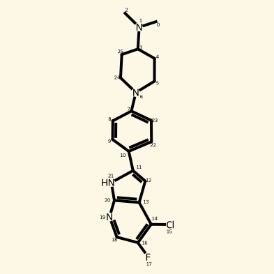 CN(C)C1CCN(c2ccc(-c3cc4c(Cl)c(F)cnc4[nH]3)cc2)CC1